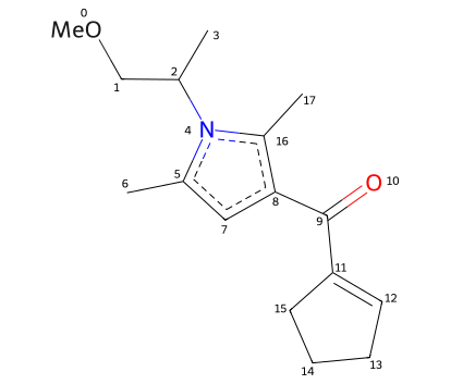 COCC(C)n1c(C)cc(C(=O)C2=CCCC2)c1C